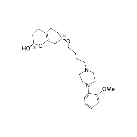 COc1ccccc1N1CCN(CCCCO[C@@H]2CCC3=C(C2)O[C@@H](O)CC3)CC1